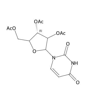 CC(=O)OCC1OC(n2ccc(=O)[nH]c2=O)C(OC(C)=O)[C@H]1OC(C)=O